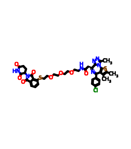 Cc1sc2c(c1C)C(c1ccc(Cl)cc1)=N[C@@H](CC(=O)NCCOCCOCCOCCSc1cccc3c1C(=O)N(C1CCC(=O)NC1=O)C3=O)c1nnc(C)n1-2